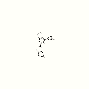 Cc1cnc(-c2cc(O[C@H](C)[C@@H](C)O)cc(C(=O)N[C@H](C)c3cnc(C(F)(F)F)nc3)c2F)s1